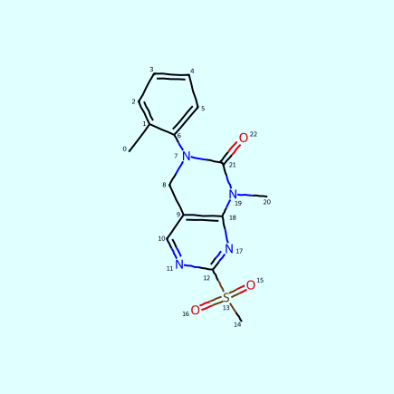 Cc1ccccc1N1Cc2cnc(S(C)(=O)=O)nc2N(C)C1=O